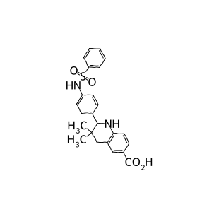 CC1(C)Cc2cc(C(=O)O)ccc2NC1c1ccc(NS(=O)(=O)c2ccccc2)cc1